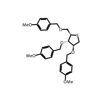 COc1ccc(COC[C@H]2SC[C@@H](OCc3ccc(OC)cc3)[C@@H]2OCc2ccc(OC)cc2)cc1